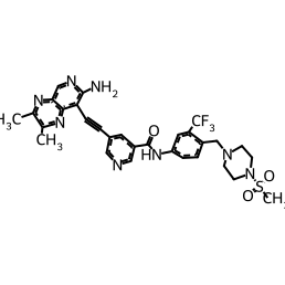 Cc1nc2cnc(N)c(C#Cc3cncc(C(=O)Nc4ccc(CN5CCN(S(C)(=O)=O)CC5)c(C(F)(F)F)c4)c3)c2nc1C